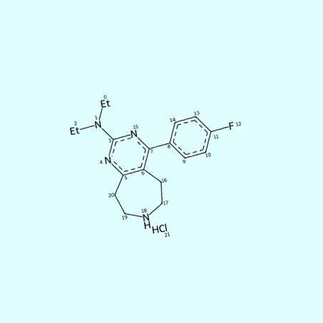 CCN(CC)c1nc2c(c(-c3ccc(F)cc3)n1)CCNCC2.Cl